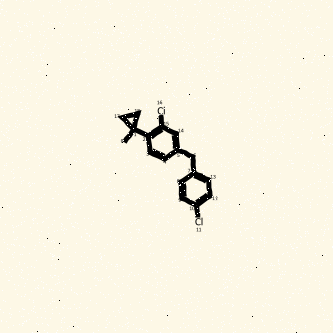 CC1(c2ccc(Cc3ccc(Cl)cc3)cc2Cl)CC1